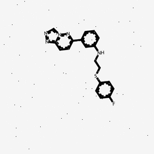 Fc1ccc(SCCNc2cccc(-c3ccc4nncn4n3)c2)cc1